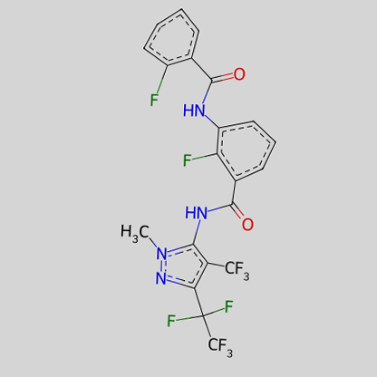 Cn1nc(C(F)(F)C(F)(F)F)c(C(F)(F)F)c1NC(=O)c1cccc(NC(=O)c2ccccc2F)c1F